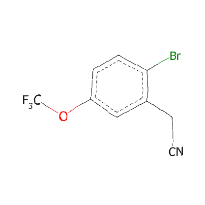 N#CCc1cc(OC(F)(F)F)ccc1Br